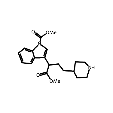 COC(=O)C(CCC1CCNCC1)c1cn(C(=O)OC)c2ccccc12